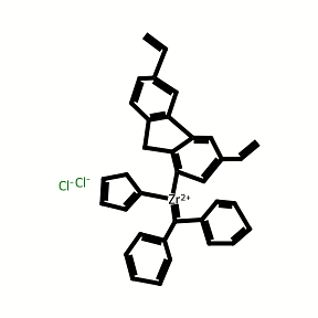 C=Cc1ccc2c(c1)-c1cc(C=C)c[c]([Zr+2]([C]3=CC=CC3)=[C](c3ccccc3)c3ccccc3)c1C2.[Cl-].[Cl-]